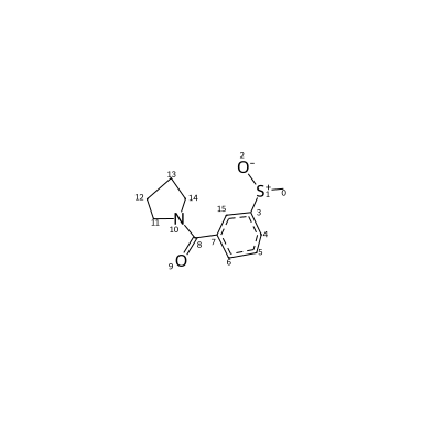 C[S+]([O-])c1cccc(C(=O)N2CCCC2)c1